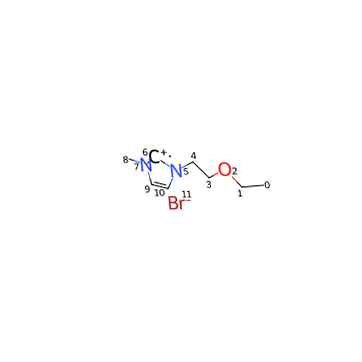 CCOCCN1[C+]N(C)C=C1.[Br-]